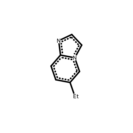 CCc1ccc2nccn2c1